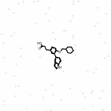 O=C(O)CCc1ccc(OCC2CCCCC2)c(-c2ccc3[nH]ccc3c2)c1